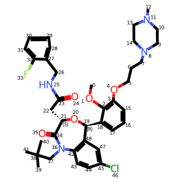 COc1c(OCCCN2CCN(C)CC2)cccc1[C@@H]1O[C@@H](CC(=O)NCc2ccccc2F)C(=O)N(CC(C)(C)C)c2ccc(Cl)cc21